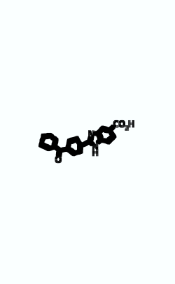 O=C(O)c1ccc2[nH]c(-c3ccc(C(=O)c4ccccc4)cc3)nc2c1